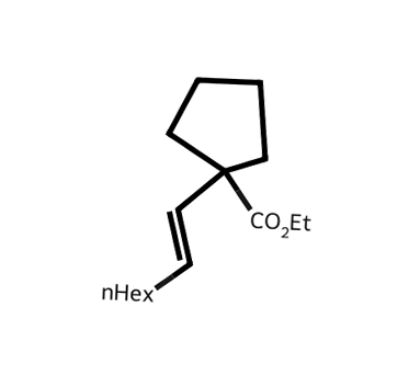 CCCCCC/C=C/C1(C(=O)OCC)CCCC1